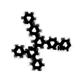 C1=CCNC(c2ccc(-c3cc(-c4ccc(-c5ccccn5)cc4)cc(-c4nc(-c5ccccc5)nc(-c5ccccc5)n4)c3)cc2)=C1